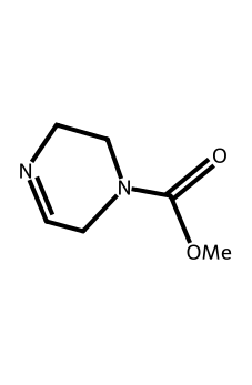 COC(=O)N1CC=NCC1